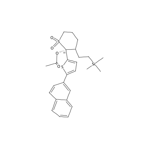 CC(=O)O[C@@]1(c2ccc(-c3ccc4ccccc4c3)s2)C(CC[Si](C)(C)C)CCCS1(=O)=O